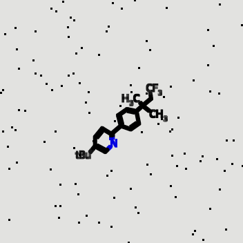 CC(C)(C)c1ccc(-c2ccc(C(C)(C)CC(F)(F)F)cc2)nc1